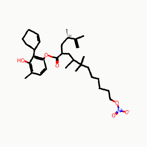 C=C(C)[C@@H](C)CC(CC(C)C(C)(C)CCCCCCO[N+](=O)[O-])C(=O)Oc1ccc(C)c(O)c1C1C=CCCC1